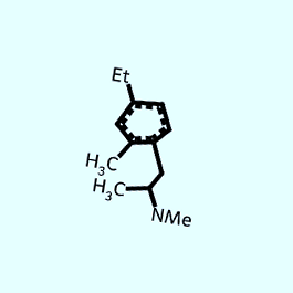 CCc1ccc(CC(C)NC)c(C)c1